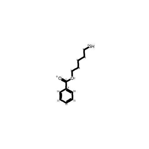 O=C(OCCCCCS)c1ccccc1